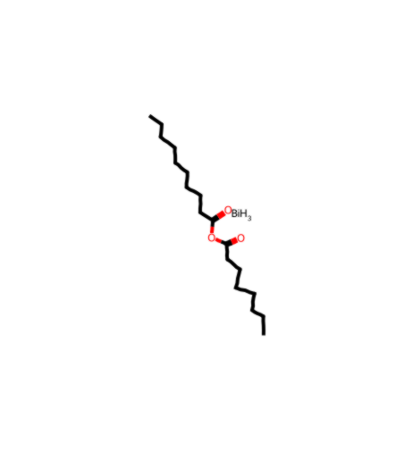 CCCCCCCCCC(=O)OC(=O)CCCCCCC.[BiH3]